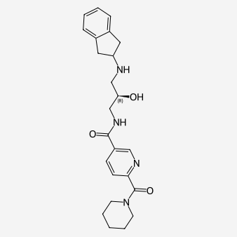 O=C(NC[C@H](O)CNC1Cc2ccccc2C1)c1ccc(C(=O)N2CCCCC2)nc1